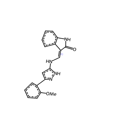 COc1ccccc1-c1cc(N/C=C2/C(=O)Nc3ccccc32)[nH]n1